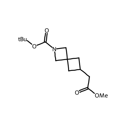 COC(=O)CC1CC2(C1)CN(C(=O)OC(C)(C)C)C2